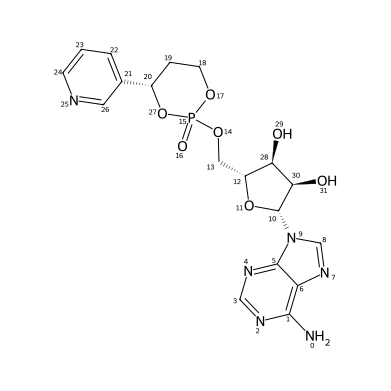 Nc1ncnc2c1ncn2[C@@H]1O[C@H](COP2(=O)OCC[C@@H](c3cccnc3)O2)[C@@H](O)[C@H]1O